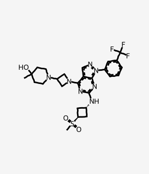 CC1(O)CCN(C2CN(c3nc(N[C@H]4C[C@H](S(C)(=O)=O)C4)nc4c3cnn4-c3cccc(C(F)(F)F)c3)C2)CC1